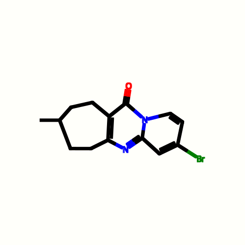 CC1CCc2nc3cc(Br)ccn3c(=O)c2CC1